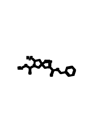 COC1(CNC(=O)OCc2ccccc2)CC(C)N(C(=O)OC(C)(C)C)C1